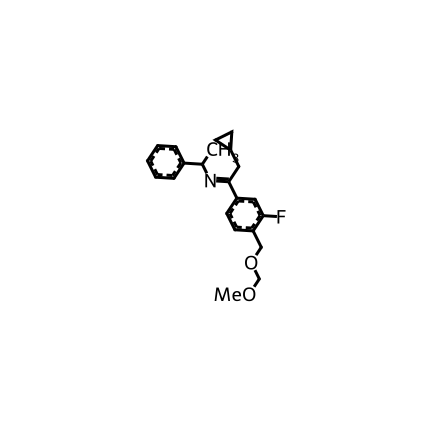 COCOCc1ccc(C(CC2CC2)=NC(C)c2ccccc2)cc1F